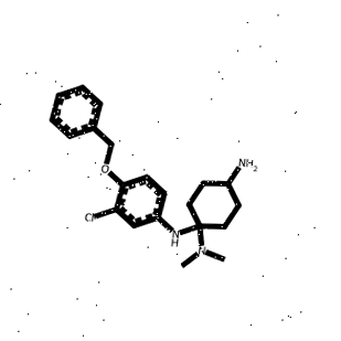 CN(C)C1(Nc2ccc(OCc3ccccc3)c(Cl)c2)CCC(N)CC1